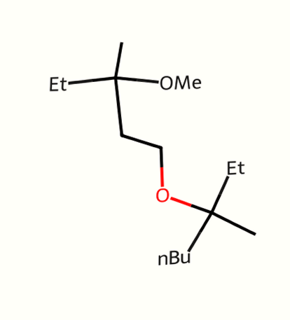 CCCCC(C)(CC)OCCC(C)(CC)OC